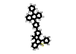 CC1(C)c2cc(-c3ccc(-c4c5ccccc5c(-c5ccccc5)c5ccccc45)cc3)ccc2-c2c1c1ccccc1c1sc3ccccc3c21